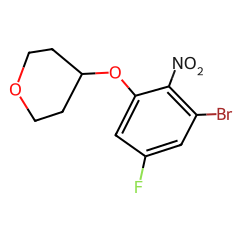 O=[N+]([O-])c1c(Br)cc(F)cc1OC1CCOCC1